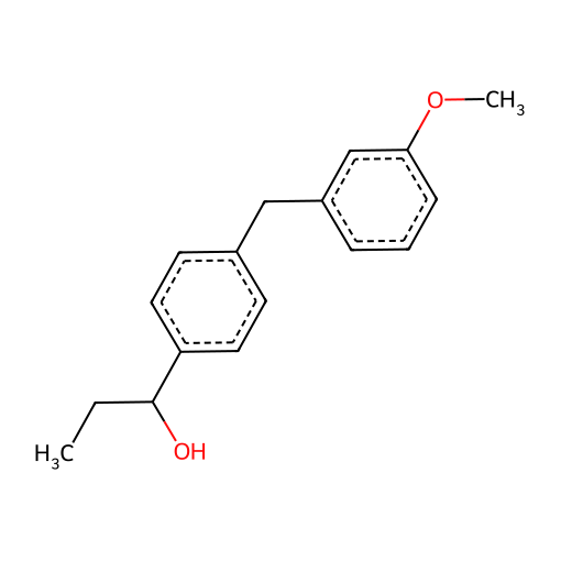 CCC(O)c1ccc(Cc2cccc(OC)c2)cc1